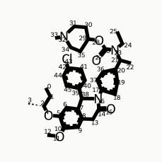 CC[C@@H](C)Oc1cc2c(cc1OC)CC(=O)N(c1ccc(C(C)N(CC)C(=O)OC3CCN(C)CC3)cc1)C2c1ccc(Cl)cc1